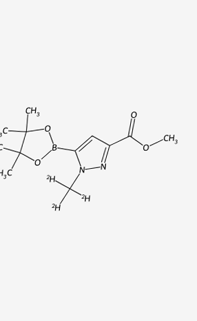 [2H]C([2H])([2H])n1nc(C(=O)OC)cc1B1OC(C)(C)C(C)(C)O1